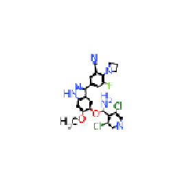 COc1cc2[nH]nc(-c3cc(F)c(N4CCC4)c(C#N)c3)c2cc1O[C@H](N)c1c(Cl)cncc1Cl